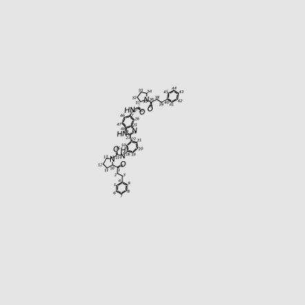 O=C(CCc1ccccc1)C1CCCN1C(=O)Nc1cccc(-c2nc3cc(NC(=O)[C@@H]4CCCN4C(=O)CCc4ccccc4)ccc3[nH]2)c1